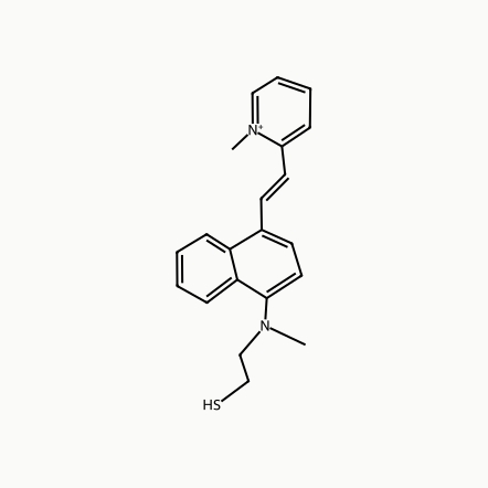 CN(CCS)c1ccc(/C=C/c2cccc[n+]2C)c2ccccc12